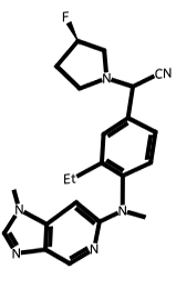 CCc1cc(C(C#N)N2CC[C@@H](F)C2)ccc1N(C)c1cc2c(cn1)ncn2C